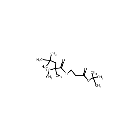 CPC(C)(CC(C)(C)C)C(=O)OCCC(=O)OC(C)(C)C